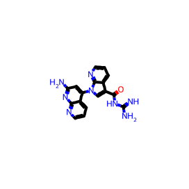 N=C(N)NC(=O)c1cn(-c2cc(N)nc3ncccc23)c2ncccc12